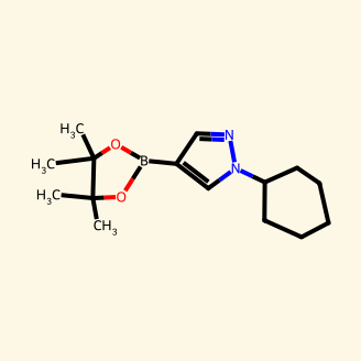 CC1(C)OB(c2cnn(C3CCCCC3)c2)OC1(C)C